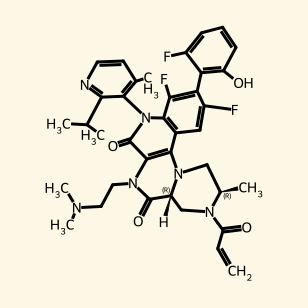 C=CC(=O)N1C[C@@H]2C(=O)N(CCN(C)C)c3c(c4cc(F)c(-c5c(O)cccc5F)c(F)c4n(-c4c(C)ccnc4C(C)C)c3=O)N2C[C@H]1C